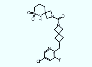 O=C(N1CC2(CC(Cc3ncc(Cl)cc3F)C2)C1)N1CC2(CCCS(=O)(=O)N2)C1